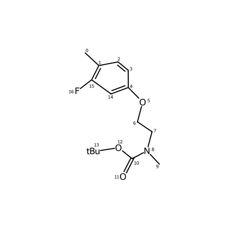 Cc1ccc(OCCN(C)C(=O)OC(C)(C)C)cc1F